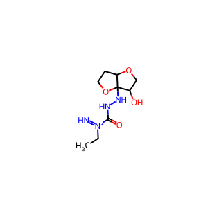 CC[N+](=N)C(=O)NNC12OCCC1OCC2O